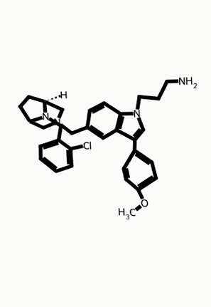 COc1ccc(-c2cn(CCCN)c3ccc(CN4CC5CC[C@@H](C4)N5Cc4ccccc4Cl)cc23)cc1